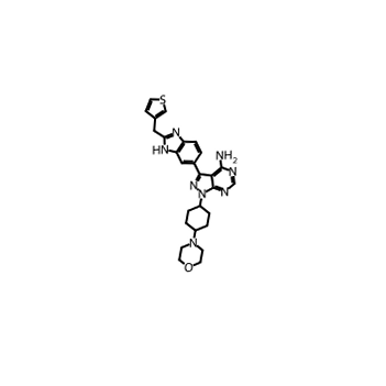 Nc1ncnc2c1c(-c1ccc3nc(Cc4ccsc4)[nH]c3c1)nn2C1CCC(N2CCOCC2)CC1